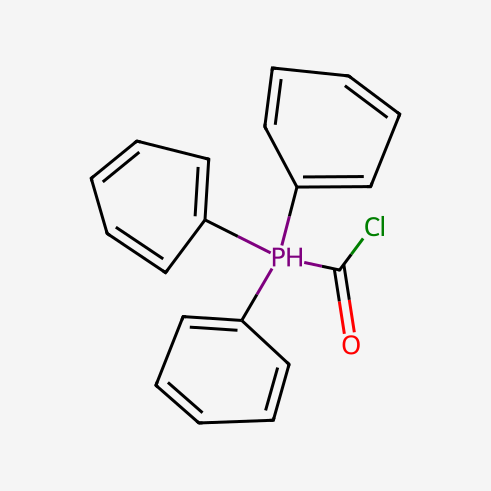 O=C(Cl)[PH](c1ccccc1)(c1ccccc1)c1ccccc1